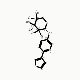 CC(=O)[C@]1(O)[C@@](O)(C(C)=O)CS[C@H](Oc2ccc(-c3ccoc3)nc2)[C@@]1(O)C(C)=O